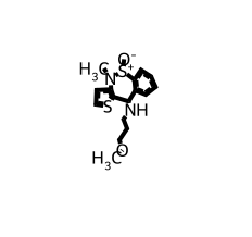 COCCCNC1c2ccccc2[S+]([O-])N(C)c2ccsc21